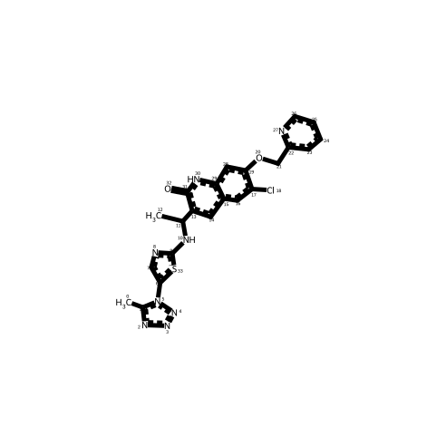 Cc1nnnn1-c1cnc(NC(C)c2cc3cc(Cl)c(OCc4ccccn4)cc3[nH]c2=O)s1